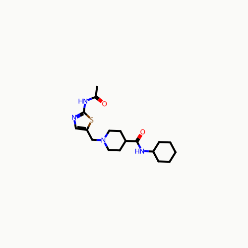 CC(=O)Nc1ncc(CN2CCC(C(=O)NC3CCCCC3)CC2)s1